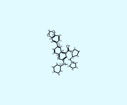 CN(c1cc(C(=O)N2CCC[C@H]2CN2CCCC2)c2cc(-c3ccc4c(c3)OCO4)ccc2n1)C1CCCCC1